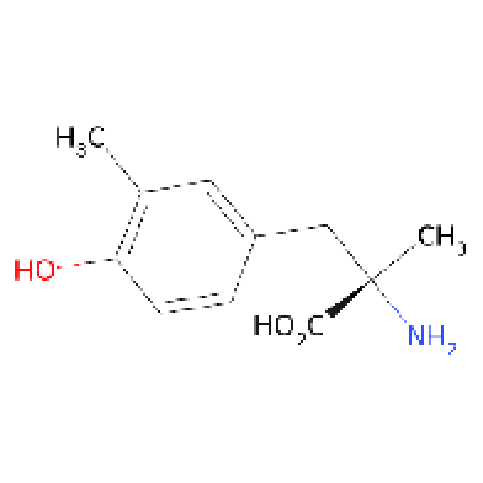 Cc1cc(C[C@](C)(N)C(=O)O)ccc1O